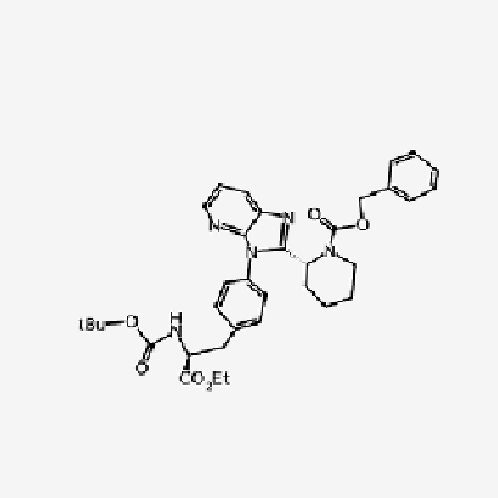 CCOC(=O)[C@H](Cc1ccc(-n2c([C@H]3CCCCN3C(=O)OCc3ccccc3)nc3cccnc32)cc1)NC(=O)OC(C)(C)C